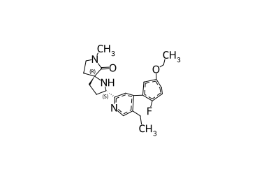 CCOc1ccc(F)c(-c2cc([C@@H]3CC[C@]4(CCN(C)C4=O)N3)ncc2CC)c1